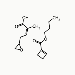 CC(=CCC1CO1)C(=O)O.CCCCOC(=O)C1=CCC1